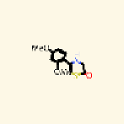 COc1ccc(C2=CSC(=O)CN2)c(OC)c1